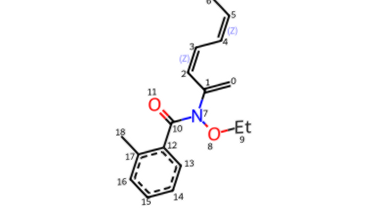 C=C(/C=C\C=C/C)N(OCC)C(=O)c1ccccc1C